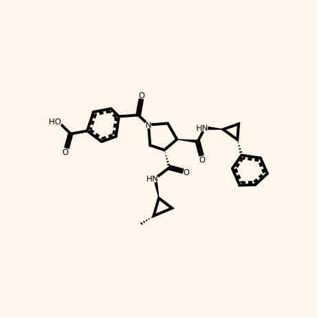 C[C@H]1C[C@@H]1NC(=O)[C@@H]1CN(C(=O)c2ccc(C(=O)O)cc2)C[C@H]1C(=O)N[C@H]1C[C@@H]1c1ccccc1